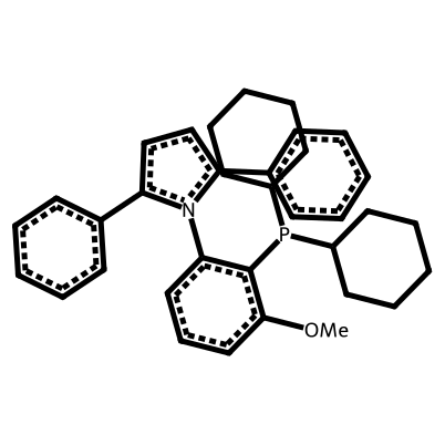 COc1cccc(-n2c(-c3ccccc3)ccc2-c2ccccc2)c1P(C1CCCCC1)C1CCCCC1